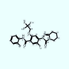 O=C(Nc1ccccc1F)c1cc(F)c(-n2nc3n(c2=O)CCCC3)cc1OCC(F)(F)F